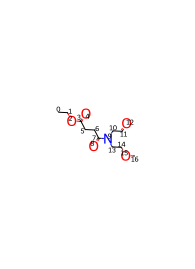 CCOC(=O)CCC(=O)N(CC=O)CCOC